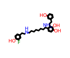 NC(CCCCCCCNCCc1ccc(O)c(F)c1)c1ccc(O)c(O)c1CCc1cccc(O)c1